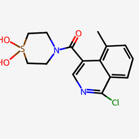 Cc1cccc2c(Cl)ncc(C(=O)N3CCS(O)(O)CC3)c12